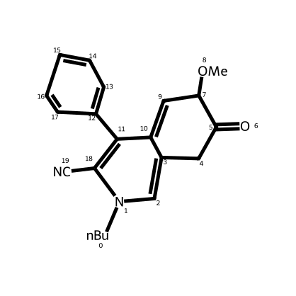 CCCCN1C=C2CC(=O)C(OC)C=C2C(c2ccccc2)=C1C#N